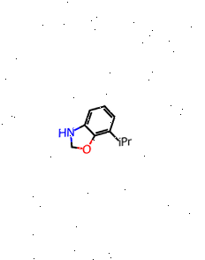 CC(C)c1cccc2c1OCN2